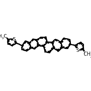 Cc1ccc(-c2ccc3cc4c(ccc5c6cc7ccc(-c8ccc(C)s8)cc7cc6ccc45)cc3c2)s1